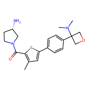 Cc1cc(-c2ccc(C3(N(C)C)COC3)cc2)sc1C(=O)N1CC[C@H](N)C1